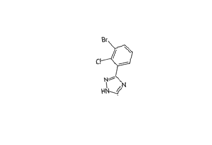 Clc1c(Br)cccc1-c1n[c][nH]n1